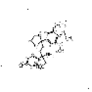 CCC(N)(CCC1(c2cc(OC)c(OC)c(OC)c2)OCCO1)c1ccc(Cl)cc1